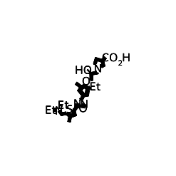 CCc1cc(-c2noc(-c3cc(C)c(CN(CC)CC)s3)n2)cc(C)c1OC[C@@H](O)CN1CCC(C(=O)O)C1